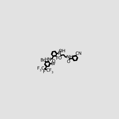 N#Cc1cccc(C(=O)NCCC(=O)N(O)c2cccc(C(=O)Nc3c(Br)cc(C(F)(C(F)(F)F)C(F)(F)F)cc3Br)c2F)c1